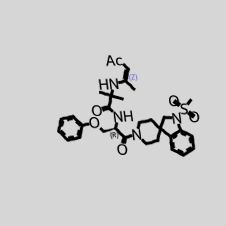 CC(=O)/C=C(/C)NC(C)(C)C(=O)N[C@H](COc1ccccc1)C(=O)N1CCC2(CC1)CN(S(C)(=O)=O)c1ccccc12